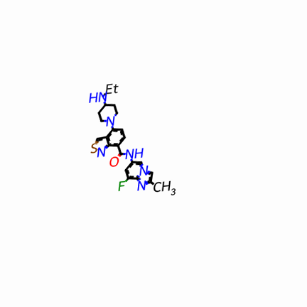 CCNC1CCN(c2ccc(C(=O)Nc3cc(F)c4nc(C)cn4c3)c3nscc23)CC1